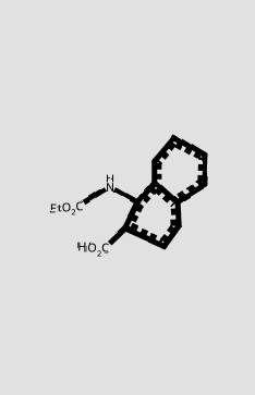 CCOC(=O)Nc1c(C(=O)O)ccc2ccccc12